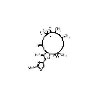 C=C(Cc1csc(SC)n1)C1OC(=O)CCC(C)(C)C(=O)C(C)CC(C)CCCC2(C)OC2(O)C1O